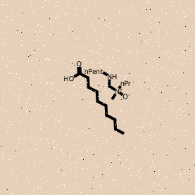 CCCCCCCCCC(=O)O.CCCCCNC[N+](C)([O-])CCC